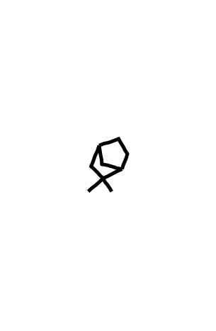 CC1(C)CC2CCC1C2